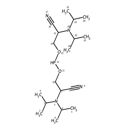 CC(C)N(C(C)C)C(C#N)COPOCC(C#N)N(C(C)C)C(C)C